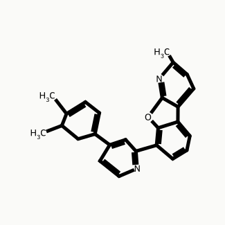 CC1=CC=C(c2ccnc(-c3cccc4c3oc3nc(C)ccc34)c2)CC1C